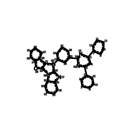 c1ccc(-c2cc(-c3ccccc3)nc(-c3cccc(-n4c5c6ccccc6oc5n5c6ccccc6nc45)c3)n2)cc1